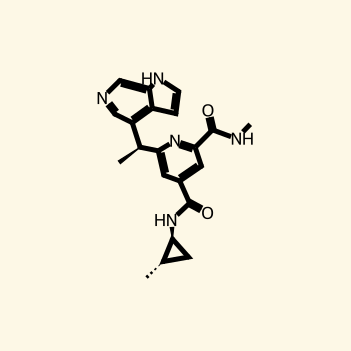 CNC(=O)c1cc(C(=O)N[C@H]2C[C@@H]2C)cc([C@@H](C)c2cncc3[nH]ccc23)n1